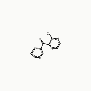 O=C(c1cccnc1)c1nccnc1Cl